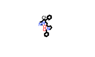 CC1=C(c2ccccc2)C(CC(=O)C2CCCN2C(=O)c2ccccc2)n2cncc21